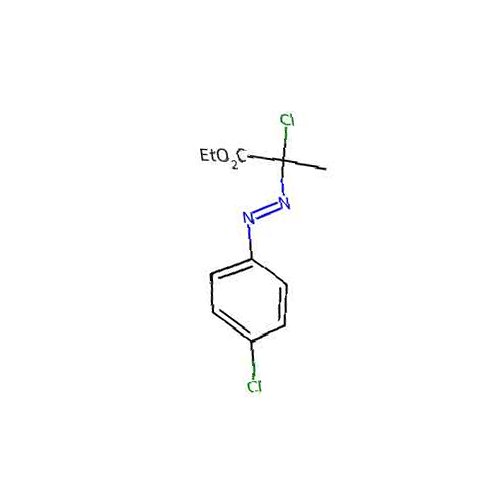 CCOC(=O)C(C)(Cl)N=Nc1ccc(Cl)cc1